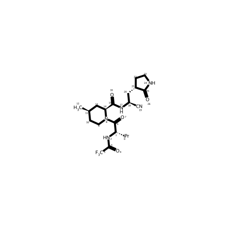 CC(C)[C@H](NC(=O)C(F)(F)F)C(=O)N1CC[C@@H](C)C[C@H]1C(=O)N[C@H](C#N)C[C@@H]1CCNC1=O